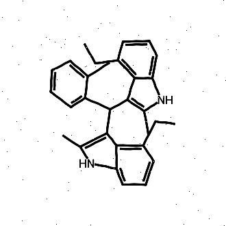 CCc1cccc2[nH]c(C)c(C(c3ccccc3C)c3c(C)[nH]c4cccc(CC)c34)c12